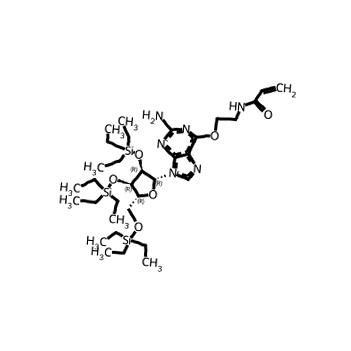 C=CC(=O)NCCOc1nc(N)nc2c1ncn2[C@@H]1O[C@H](CO[Si](CC)(CC)CC)[C@@H](O[Si](CC)(CC)CC)[C@H]1O[Si](CC)(CC)CC